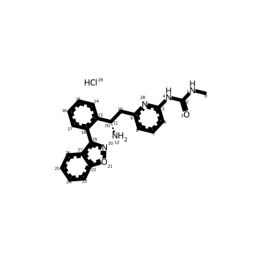 CNC(=O)Nc1cccc(C[C@H](N)c2ccccc2-c2noc3ccccc23)n1.Cl